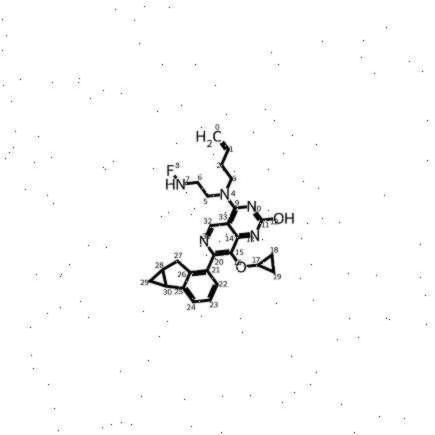 C=CCCN(CCNF)c1nc(O)nc2c(OC3CC3)c(-c3cccc4c3CC3CC43)ncc12